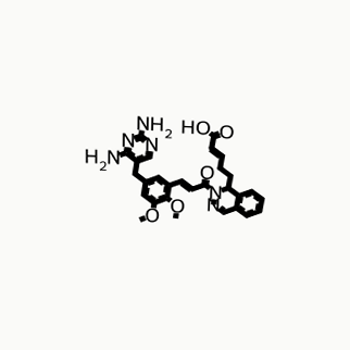 COc1cc(Cc2cnc(N)nc2N)cc(C=CC(=O)N2N=Cc3ccccc3C2CCC=CC(=O)O)c1OC